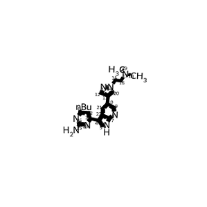 CCCCc1cc(-c2c[nH]c3ncc(-c4cnn(CCN(C)C)c4)cc23)nc(N)n1